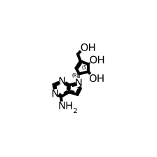 Nc1ncnc2c1ccn2[C@@H]1C=C(CO)[C@H](O)C1O